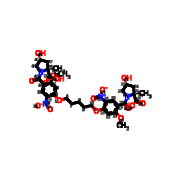 COc1cc(OCCCCCOc2cc(OC)c(C(=O)N3C[C@H](O)C[C@@]3(C)C(=O)O)cc2[N+](=O)[O-])c([N+](=O)[O-])cc1C(=O)N1C[C@H](O)C[C@@]1(C)C(=O)O